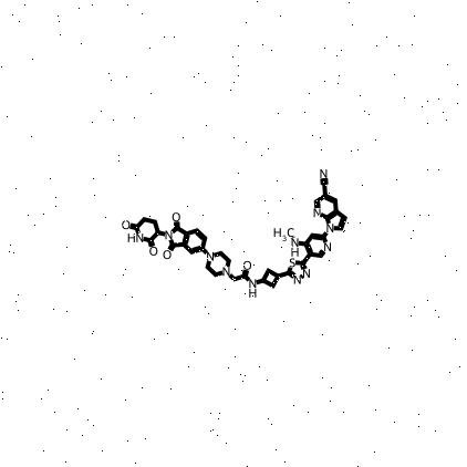 CNc1cc(-n2ccc3cc(C#N)cnc32)ncc1-c1nnc(C2CC(NC(=O)CN3CCN(c4ccc5c(c4)C(=O)N(C4CCC(=O)NC4=O)C5=O)CC3)C2)s1